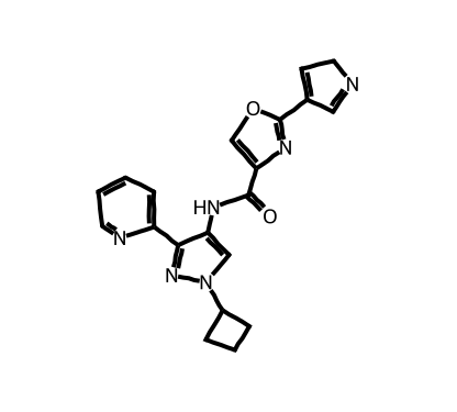 O=C(Nc1cn(C2CCC2)nc1-c1ccccn1)c1coc(C2=CCN=C2)n1